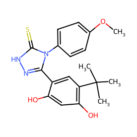 COc1ccc(-n2c(-c3cc(C(C)(C)C)c(O)cc3O)n[nH]c2=S)cc1